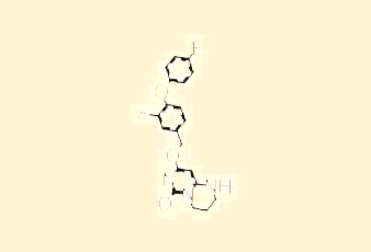 O=c1nc(OCc2ccc(Oc3ccc(F)cc3)c(F)c2)cc2n1CCCN2